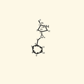 C[C@@H]1C[C@H](OCc2ccccc2)CN1